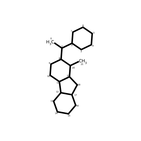 CC(C1CCCCC1)C1CCC2C3CCCCC3CC2C1C